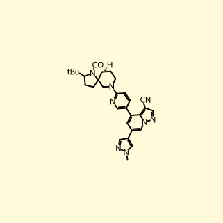 Cn1cc(-c2cc(-c3ccc(N4CCCC5(CCC(C(C)(C)C)N5C(=O)O)C4)nc3)c3c(C#N)cnn3c2)cn1